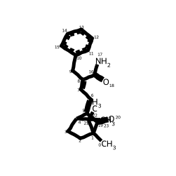 CC12CCC(C(=CC=C(Cc3ccccc3)C(N)=O)C1=O)C2(C)C